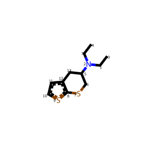 CCN(CC)C1CSc2sccc2C1